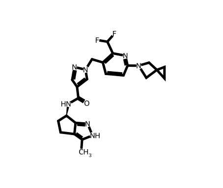 Cc1[nH]nc2c1CC[C@H]2NC(=O)c1cnn(Cc2ccc(N3CC4(CC4)C3)nc2C(F)F)c1